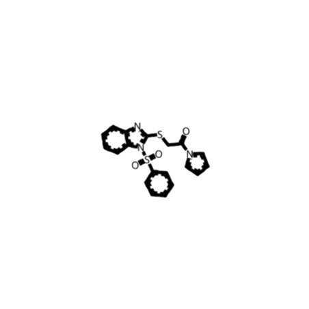 O=C(CSc1nc2ccccc2n1S(=O)(=O)c1ccccc1)n1cccc1